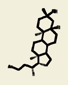 CC(=O)CC[C@@H](C)[C@H]1CCC2C3CC[C@H]4C[C@@](C)(O)CC[C@]4(C)C3CC[C@@]21C